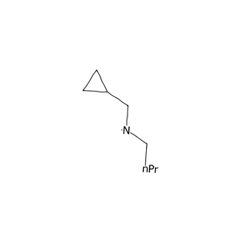 CCCC[N]CC1CC1